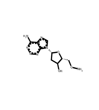 NOC[C@H]1O[C@@H](n2cnc3c(N)nnnc32)CC1O